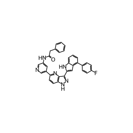 O=C(Cc1ccccc1)Nc1cncc(-c2ccc3[nH]nc(-c4cc5c(-c6ccc(F)cc6)cccc5[nH]4)c3n2)c1